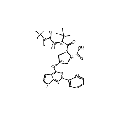 CC(C)(C)NC(=O)N[C@H](C(=O)N1C[C@H](Oc2nc(-c3ccccn3)nc3sccc23)C[C@H]1C(=O)O)C(C)(C)C